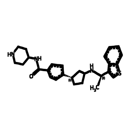 C[C@@H](NC1CC[C@H](c2ccc(C(=O)NC3CCNCC3)cc2)C1)c1csc2ccccc12